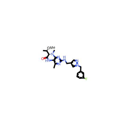 CO[C@H](C)[C@H]1C(=O)Nc2c(C)nc(NCc3cnn(Cc4cccc(F)c4)c3)nc2N1C